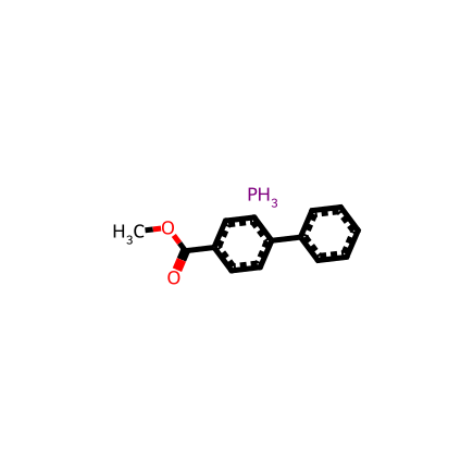 COC(=O)c1ccc(-c2ccccc2)cc1.P